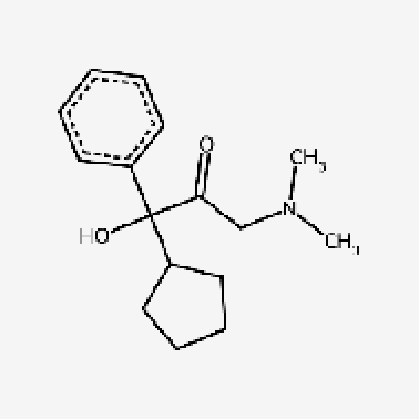 CN(C)CC(=O)C(O)(c1ccccc1)C1CCCC1